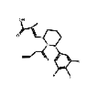 C=CCC(=O)N1[C@@H](/C=C(\C)C(=O)O)CCC[C@H]1c1cc(F)c(F)c(F)c1